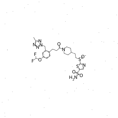 Cc1nnn(Cc2cc(OC(F)F)ccc2CCC(=O)N2CCC(CC[S+]([O-])c3ncc(S(N)(=O)=O)s3)CC2)n1